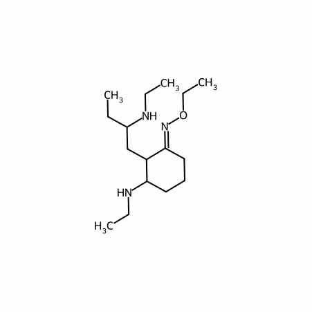 CCNC(CC)CC1C(=NOCC)CCCC1NCC